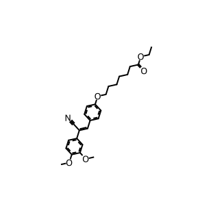 CCOC(=O)CCCCCCOc1ccc(C=C(C#N)c2ccc(OC)c(OC)c2)cc1